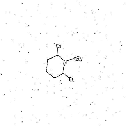 CCC1CCCC(CC)N1C(C)(C)C